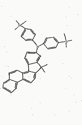 CC1(C)c2cc(N(c3ccc([Si](C)(C)C)cc3)c3ccc([Si](C)(C)C)cc3)ccc2-c2c1ccc1c2ccc2ccccc21